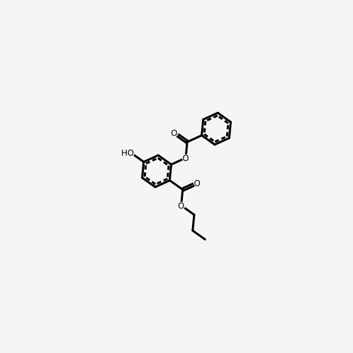 CCCOC(=O)c1ccc(O)cc1OC(=O)c1ccccc1